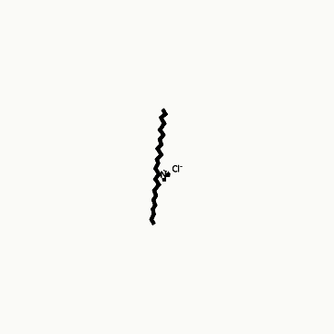 CCCCCCCCCCCCCC(CCCCCCCCCC)[N+](C)(C)C.[Cl-]